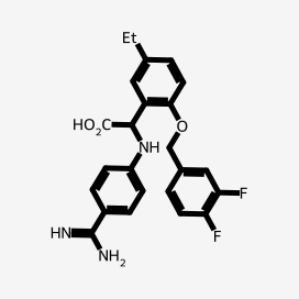 CCc1ccc(OCc2ccc(F)c(F)c2)c(C(Nc2ccc(C(=N)N)cc2)C(=O)O)c1